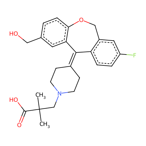 CC(C)(CN1CCC(=C2c3ccc(F)cc3COc3ccc(CO)cc32)CC1)C(=O)O